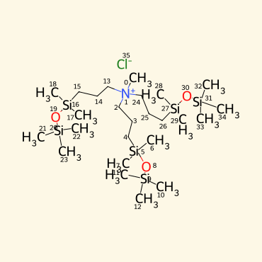 C[N+](CCC[Si](C)(C)O[Si](C)(C)C)(CCC[Si](C)(C)O[Si](C)(C)C)CCC[Si](C)(C)O[Si](C)(C)C.[Cl-]